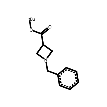 CC(C)(C)OC(=O)C1CN(Cc2ccccc2)C1